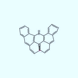 B(c1c2ccccc2cc2ccccc12)c1c2ccccc2cc2ccccc12